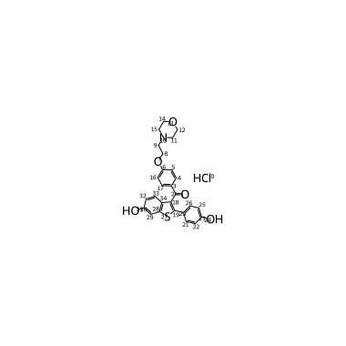 Cl.O=C(c1ccc(OCCN2CCOCC2)cc1)c1c(-c2ccc(O)cc2)sc2cc(O)ccc12